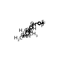 C=CC(=O)NC1CC(C)N(S(=O)(=O)c2ccc(C(=O)NCc3ccc(C(F)(F)F)cc3)cc2)C(C)C1